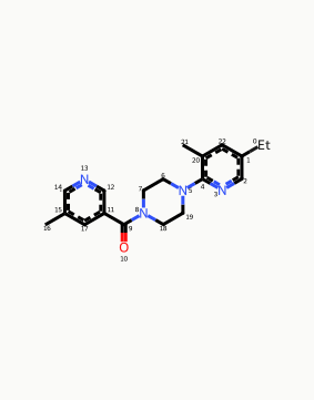 CCc1cnc(N2CCN(C(=O)c3cn[c]c(C)c3)CC2)c(C)c1